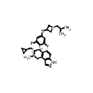 CC(C)CN1CC(Sc2cc(F)c([C@@H]3c4ccc5[nH]ncc5c4CN(C)[C@H]3CC3CC3)c(F)c2)C1